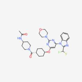 CC(=O)NC1CCN(C(=O)[C@H]2CC[C@H](Oc3cc(-n4c(C(F)F)nc5ccccc54)nc(N4CCOCC4)n3)CC2)CC1